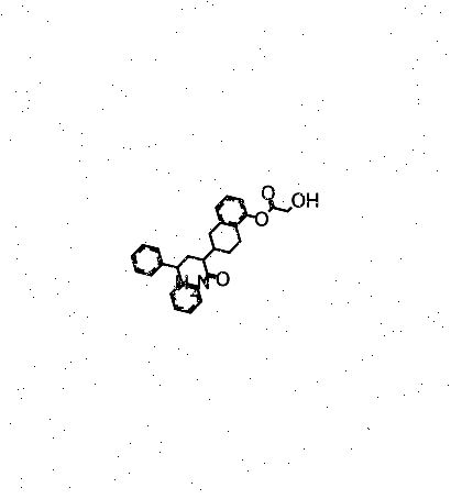 NC(=O)C(CC(c1ccccc1)c1ccccc1)C1CCc2c(cccc2OC(=O)CO)C1